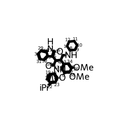 COc1cc(C(C(=O)NC2CCCCC2)C(C(=O)Nc2ccc(C(C)C)cc2)c2c[nH]c3ccccc23)cc(OC)c1OC